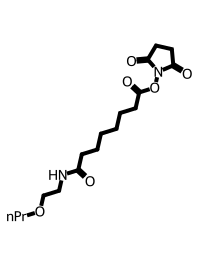 CCCOCCNC(=O)CCCCCCC(=O)ON1C(=O)CCC1=O